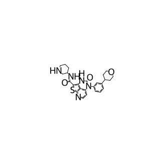 O=C(NC1CCCNC1)c1sc2nccc3c2c1NC(=O)N3c1cccc(C2CCOCC2)c1